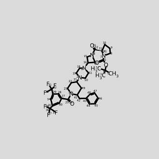 CC(C)(C)OC(=O)N1CCC[C@@H]1C(=O)N1CC(N2CCN(C3CCN(C(=O)c4cc(C(F)(F)F)cc(C(F)(F)F)c4)C(Cc4ccccc4)C3)CC2)C1